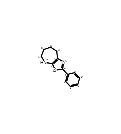 c1ccc(-c2nc3c(s2)NCCCC3)cc1